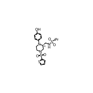 CC(C)S(=O)(=O)NC[C@H]1CN(S(=O)(=O)c2cccs2)CCN1c1ccc(O)cc1